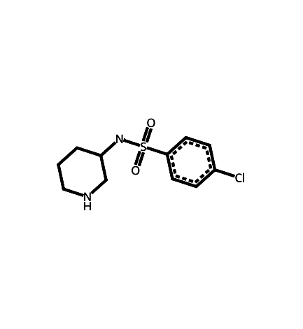 O=S(=O)([N]C1CCCNC1)c1ccc(Cl)cc1